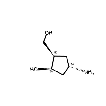 N[C@H]1C[C@H](CO)[C@H](O)C1